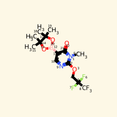 Cn1c(OCC(F)(F)C(F)(F)F)ncc(B2OC(C)(C)C(C)(C)O2)c1=O